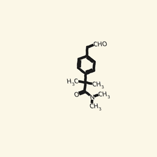 CN(C)C(=O)C(C)(C)c1ccc(CC=O)cc1